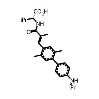 C/C(=C\c1cc(C)c(-c2ccc(NC(C)C)cc2)cc1C)C(=O)N[C@@H](C(=O)O)C(C)C